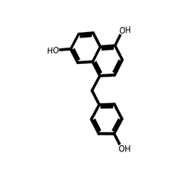 Oc1ccc(Cc2ccc(O)c3ccc(O)cc23)cc1